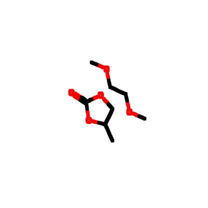 CC1COC(=O)O1.COCCOC